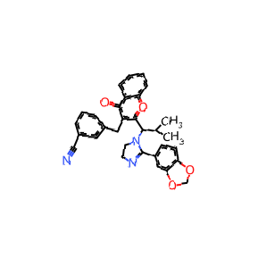 CC(C)C(c1oc2ccccc2c(=O)c1Cc1cccc(C#N)c1)N1CCN=C1c1ccc2c(c1)OCO2